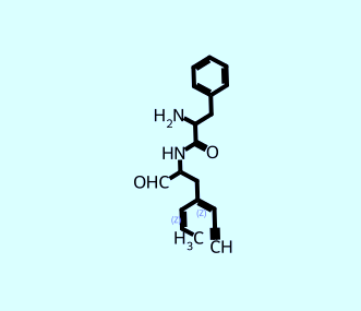 C#C/C=C(\C=C/C)CC(C=O)NC(=O)C(N)Cc1ccccc1